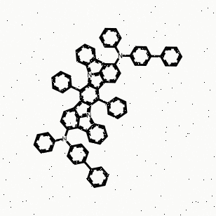 c1ccc(-c2ccc(N(c3ccccc3)c3ccc4c5c(-c6ccccc6)c6c(c(-c7ccccc7)c5n5c7ccccc7c3c45)c3ccc(N(c4ccccc4)c4ccc(-c5ccccc5)cc4)c4c5ccccc5n6c34)cc2)cc1